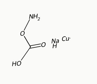 NOC(=O)O.[Cu].[NaH]